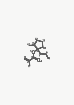 C=C(C)C(=O)OC1(CCC)CCCC1C